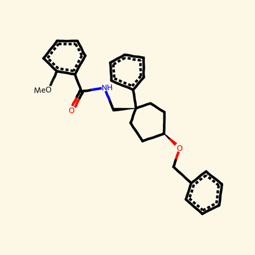 COc1ccccc1C(=O)NC[C@]1(c2ccccc2)CC[C@H](OCc2ccccc2)CC1